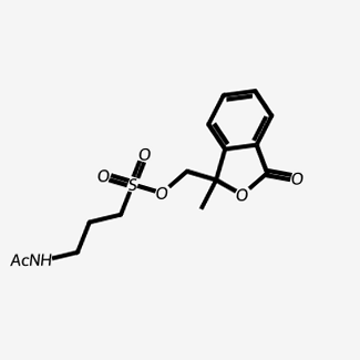 CC(=O)NCCCS(=O)(=O)OCC1(C)OC(=O)c2ccccc21